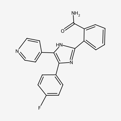 NC(=O)c1ccccc1-c1nc(-c2ccc(F)cc2)c(-c2ccncc2)[nH]1